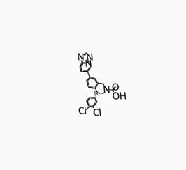 O=C(O)N1Cc2cc(-c3ccc4ncnn4c3)ccc2[C@@H](c2ccc(Cl)c(Cl)c2)C1